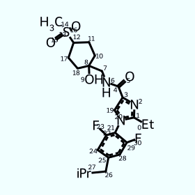 CCc1nc(C(=O)NCC2(O)CCC(S(C)(=O)=O)CC2)cn1-c1c(F)cc(CC(C)C)cc1F